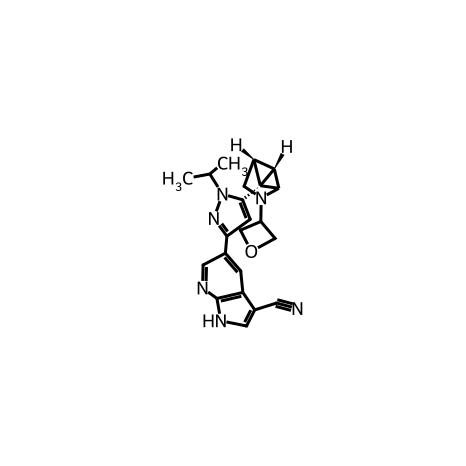 CC(C)n1nc(-c2cnc3[nH]cc(C#N)c3c2)cc1[C@@]12C3[C@H]1[C@H]2CN3C1COC1